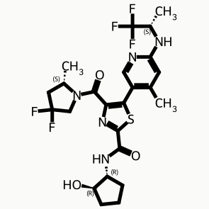 Cc1cc(N[C@@H](C)C(F)(F)F)ncc1-c1sc(C(=O)N[C@@H]2CCC[C@H]2O)nc1C(=O)N1CC(F)(F)C[C@@H]1C